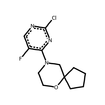 Fc1cnc(Cl)nc1N1CCOC2(CCCC2)C1